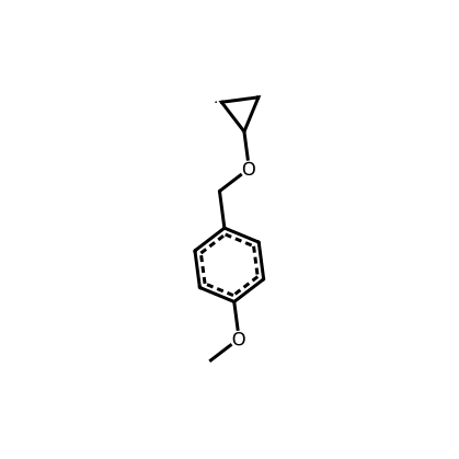 COc1ccc(COC2[CH]C2)cc1